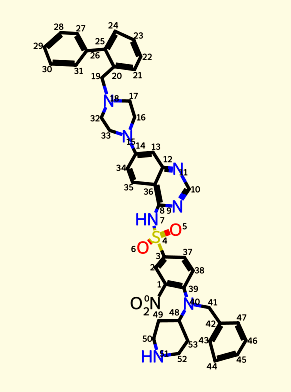 O=[N+]([O-])c1cc(S(=O)(=O)Nc2ncnc3cc(N4CCN(Cc5ccccc5-c5ccccc5)CC4)ccc23)ccc1N(Cc1ccccc1)C1CCNCC1